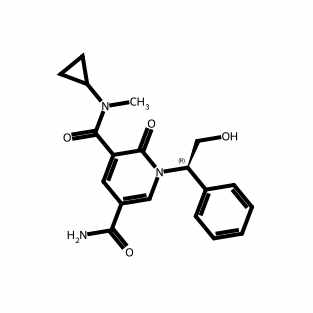 CN(C(=O)c1cc(C(N)=O)cn([C@@H](CO)c2ccccc2)c1=O)C1CC1